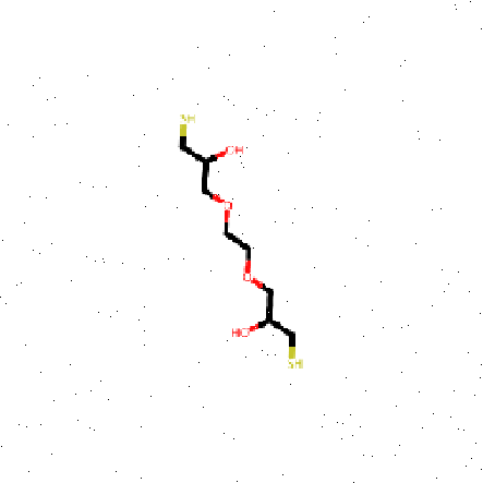 OC(CS)COCCOCC(O)CS